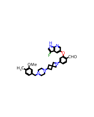 COc1cc(CN2CCN(C3CC4(C3)CN(c3ccc(C=O)c(Oc5cnc6[nH]cc(F)c6c5)c3)C4)CC2)ccc1C